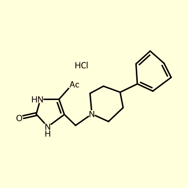 CC(=O)c1[nH]c(=O)[nH]c1CN1CCC(c2ccccc2)CC1.Cl